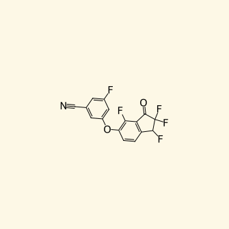 N#Cc1cc(F)cc(Oc2ccc3c(c2F)C(=O)C(F)(F)C3F)c1